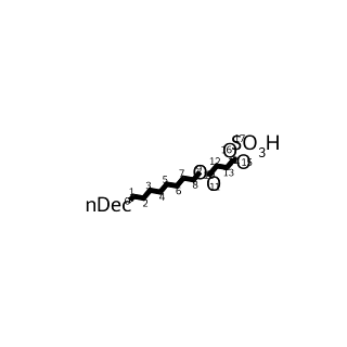 CCCCCCCCCCCCCCCCCCOC(=O)CCC(=O)OS(=O)(=O)O